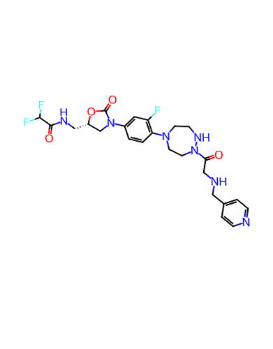 O=C(NC[C@H]1CN(c2ccc(N3CCNN(C(=O)CNCc4ccncc4)CC3)c(F)c2)C(=O)O1)C(F)F